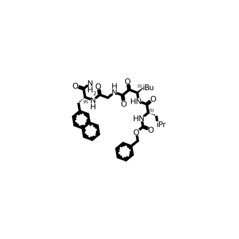 CC[C@H](C)C(NC(=O)[C@H](CC(C)C)NC(=O)OCc1ccccc1)C(=O)C(=O)NCC(=O)N[C@H](Cc1ccc2ccccc2c1)C(N)=O